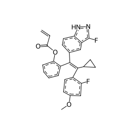 C=CC(=O)Oc1ccccc1/C(=C(\c1ccc(OC)cc1F)C1CC1)c1ccc2[nH]nc(F)c2c1